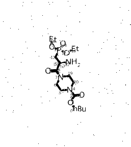 CCCCOC(=O)N1CCN(C(=O)[C@H](N)CP(=O)(OCC)OCC)CC1